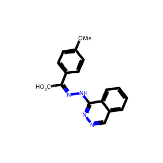 COc1ccc(/C(=N\Nc2nncc3ccccc23)C(=O)O)cc1